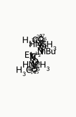 CCCCN(CCCN(CC)CC(=O)Nc1c(C)cccc1C)CC(=O)Nc1c(C)cccc1C